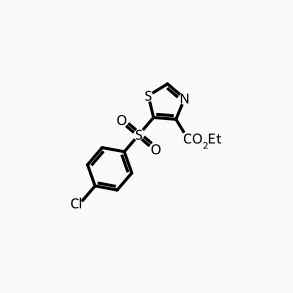 CCOC(=O)c1ncsc1S(=O)(=O)c1ccc(Cl)cc1